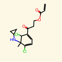 C=CC(=O)OCCC(=O)C1=CC=C(Cl)C(C)(NC2CC2)C1Cl